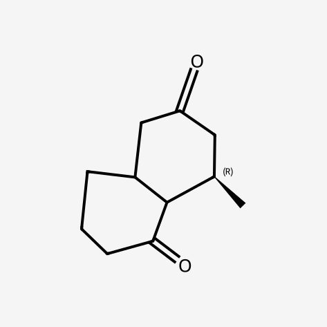 C[C@@H]1CC(=O)CC2CCCC(=O)C21